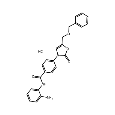 Cl.Nc1ccccc1NC(=O)c1ccc(-n2cc(COCc3ccccc3)oc2=O)cc1